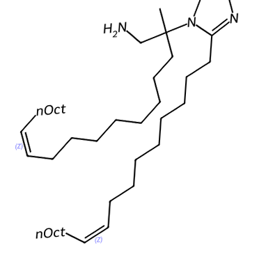 CCCCCCCC/C=C\CCCCCCCCC1=NCCN1C(C)(CN)CCCCCCCC/C=C\CCCCCCCC